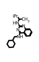 CC(C)C(C)Nc1nc(NCC2CCCCC2)c2ccccc2n1